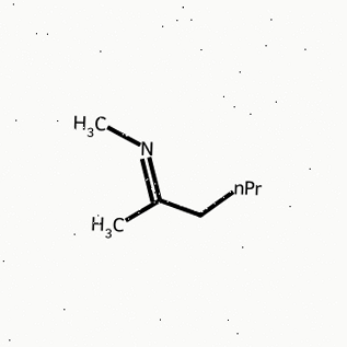 CCCCC(C)=NC